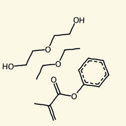 C=C(C)C(=O)Oc1ccccc1.CCOCC.OCCOCCO